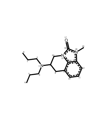 CCCN(CCC)C1Cc2cccc3c2n(c(=O)n3C)C1